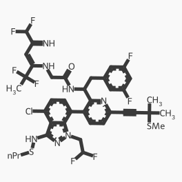 CCCSNc1nn(CC(F)F)c2c(-c3ccc(C#CC(C)(C)SC)nc3C(Cc3cc(F)cc(F)c3)NC(=O)CN/C(=C\C(=N)C(F)F)C(C)(F)F)ccc(Cl)c12